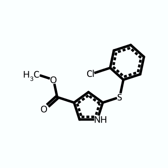 COC(=O)c1c[nH]c(Sc2ccccc2Cl)c1